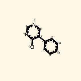 Clc1ncncc1-c1c[c][c]cc1